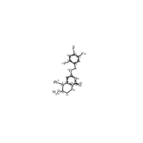 CC(C)N1c2cc(OCc3cc(F)c(F)cc3F)nc(=O)n2CCC1C